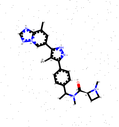 Cc1cc(-c2[nH]nc(-c3ccc(C(C)N(C)C(=O)[C@@H]4CCN4C)cc3)c2C(C)C)cn2ncnc12